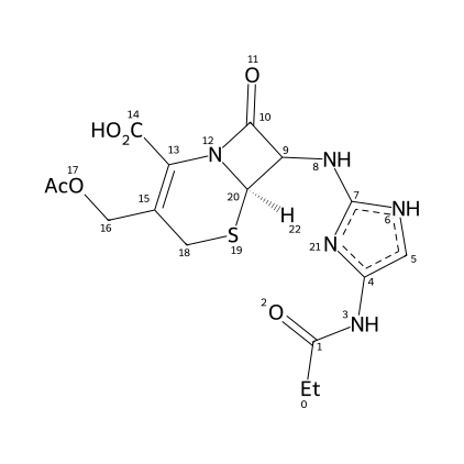 CCC(=O)Nc1c[nH]c(NC2C(=O)N3C(C(=O)O)=C(COC(C)=O)CS[C@H]23)n1